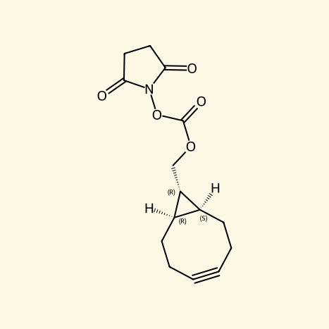 O=C(OC[C@H]1[C@@H]2CCC#CCC[C@@H]21)ON1C(=O)CCC1=O